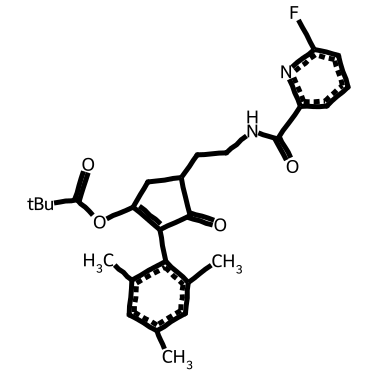 Cc1cc(C)c(C2=C(OC(=O)C(C)(C)C)CC(CCNC(=O)c3cccc(F)n3)C2=O)c(C)c1